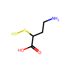 NCCC(SS)C(=O)O